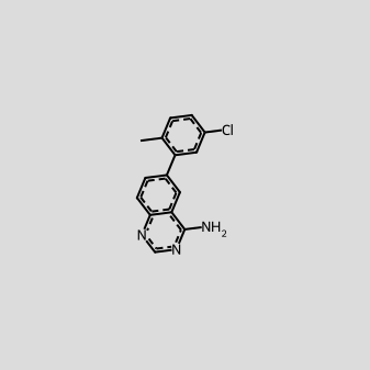 Cc1ccc(Cl)cc1-c1ccc2ncnc(N)c2c1